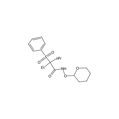 CCCC(CC)(C(=O)NOC1CCCCO1)S(=O)(=O)c1ccccc1